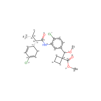 CCOC(c1ccc(Cl)c(NC(=O)[C@H](C2C=CC(Cl)=CC2)[C@@H](C)C(F)(F)F)c1)C1(C(=O)OC(C)(C)C)CCC1